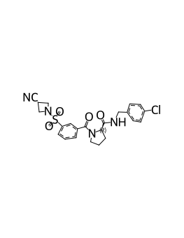 N#CC1CN(S(=O)(=O)c2cccc(C(=O)N3CCC[C@@H]3C(=O)NCc3ccc(Cl)cc3)c2)C1